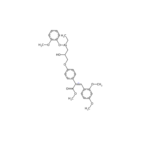 CC[As](CC(O)COc1ccc(/C(=C/c2ccc(OC)cc2OC)C(=O)OC)cc1)Oc1ccccc1OC